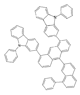 c1ccc(-c2cccc3ccc(-c4c5cccc(-c6ccc7c8ccccc8n(-c8ccccc8)c7c6)c5cc5c(-c6ccc7c8ccccc8n(-c8ccccc8)c7c6)cccc45)cc23)cc1